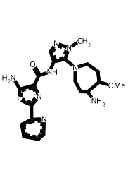 COC1CCN(c2c(NC(=O)c3nc(-c4ccccn4)sc3N)cnn2C)CCC1N